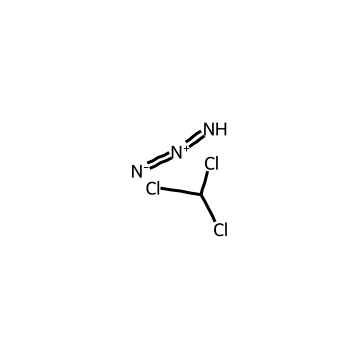 ClC(Cl)Cl.[N-]=[N+]=N